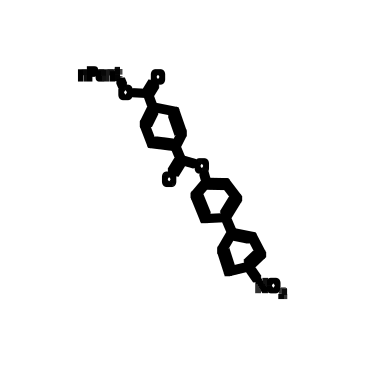 CCCCCOC(=O)c1ccc(C(=O)Oc2ccc(-c3ccc([N+](=O)[O-])cc3)cc2)cc1